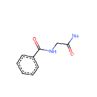 [NH]C(=O)CNC(=O)c1ccccc1